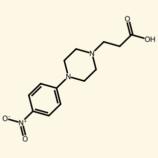 O=C(O)CCN1CCN(c2ccc([N+](=O)[O-])cc2)CC1